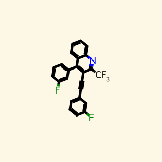 Fc1cccc(C#Cc2c(C(F)(F)F)nc3ccccc3c2-c2cccc(F)c2)c1